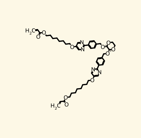 C=CC(=O)OCCCCCCCCOc1cnc(-c2ccc(CO[C@H]3OCCO[C@@H]3OCc3ccc(-c4ncc(OCCCCCCCCOC(=O)C=C)cn4)cc3)cc2)nc1